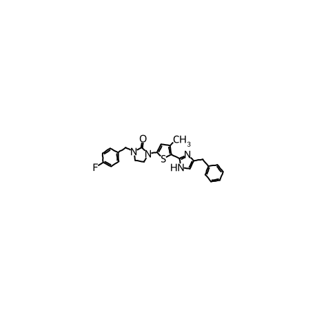 Cc1cc(N2CCN(Cc3ccc(F)cc3)C2=O)sc1-c1nc(Cc2ccccc2)c[nH]1